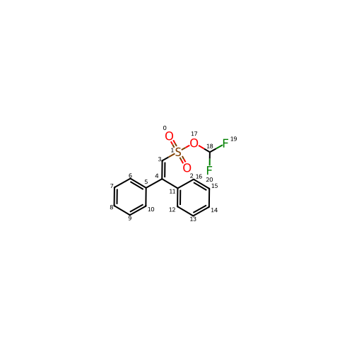 O=S(=O)(C=C(c1ccccc1)c1ccccc1)OC(F)F